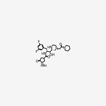 CCCCN1CC(C(=O)N[C@@H](Cc2cc(F)cc(F)c2)[C@H](O)[C@H]2CN(CC(=O)N3CCCCC3)CCN2)CC1=O